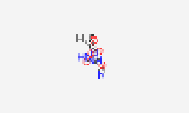 COc1ccc2c(c1)C(=O)N(CC1(c3ccc(Oc4ccncc4)cc3)NC(=O)NC1=O)C2